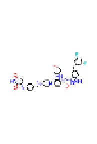 CN(Cc1ccc(NC2CCC(=O)NC2=O)cc1)C1CCN(c2ccc(C(=O)Nc3n[nH]c4ccc(Cc5cc(F)cc(F)c5)cc34)c(NC3CCOCC3)c2)CC1